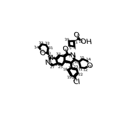 O=C(O)[C@H]1C[C@H](Oc2nc(C3CCOCC3)c(-c3ccc(Cl)cc3)c3cc4cnn(C5CCCCO5)c4cc23)C1